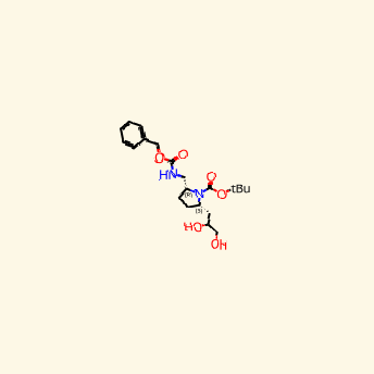 CC(C)(C)OC(=O)N1[C@@H](CNC(=O)OCc2ccccc2)CC[C@H]1CC(O)CO